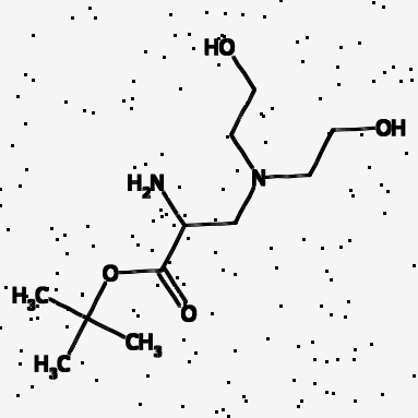 CC(C)(C)OC(=O)C(N)CN(CCO)CCO